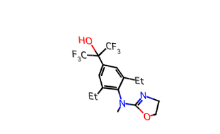 CCc1cc(C(O)(C(F)(F)F)C(F)(F)F)cc(CC)c1N(C)C1=NCCO1